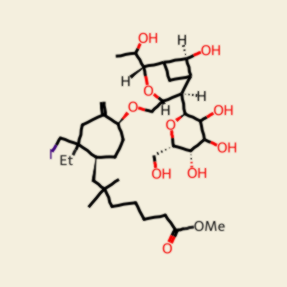 C=C1CC(CC)(CI)[C@H](CC(C)(C)CCCCC(=O)OC)CC[C@@H]1OC[C@@H]1O[C@H](C(C)O)C2CC([C@@H]2O)[C@H]1[C@@H]1O[C@@H](CO)[C@@H](O)C(O)C1O